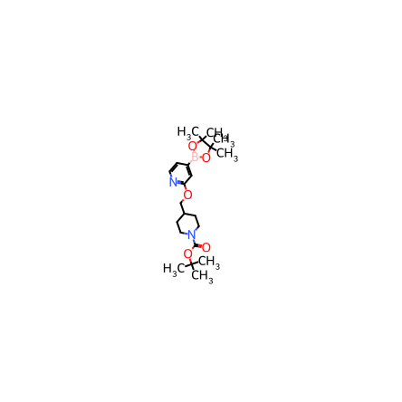 CC(C)(C)OC(=O)N1CCC(COc2cc(B3OC(C)(C)C(C)(C)O3)ccn2)CC1